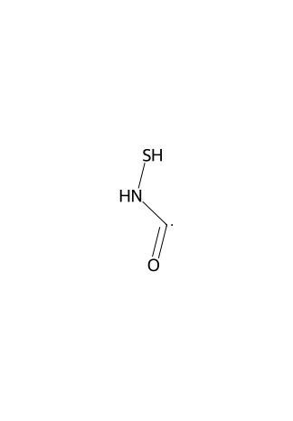 O=[C]NS